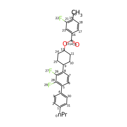 CCCc1ccc(-c2ccc(C3CCC(OC(=O)c4ccc(C)c(F)c4)CC3)c(F)c2F)cc1